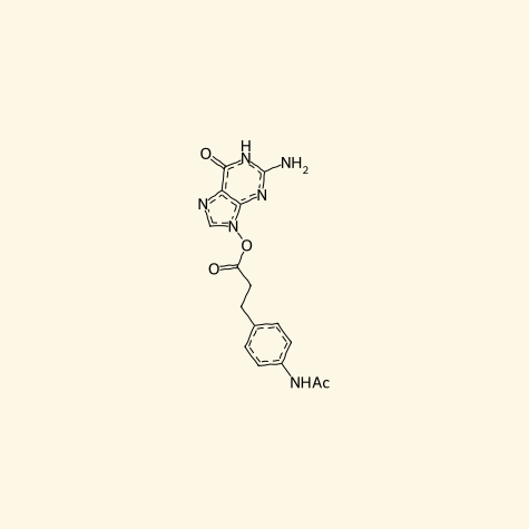 CC(=O)Nc1ccc(CCC(=O)On2cnc3c(=O)[nH]c(N)nc32)cc1